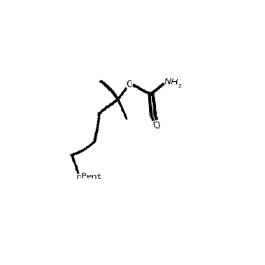 CCCCCCCCC(C)(C)OC(N)=O